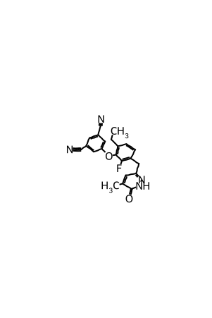 CCc1ccc(Cc2cc(C)c(=O)[nH]n2)c(F)c1Oc1cc(C#N)cc(C#N)c1